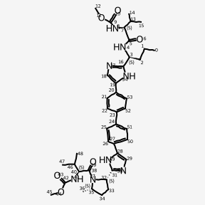 CCC[C@H](NC(=O)[C@@H](NC(=O)OC)C(C)C)c1ncc(-c2ccc(-c3ccc(-c4cnc([C@@H]5CC[C@H](C)N5C(=O)[C@@H](NC(=O)OC)C(C)C)[nH]4)cc3)cc2)[nH]1